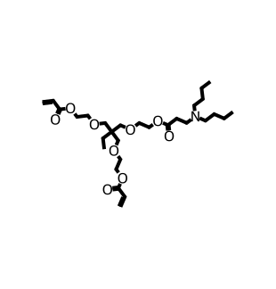 C=CC(=O)OCCOCC(CC)(COCCOC(=O)C=C)COCCOC(=O)CCN(CCCC)CCCC